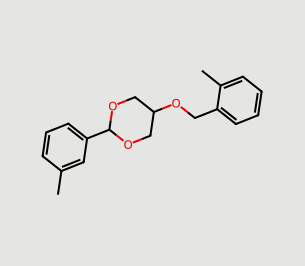 Cc1cccc(C2OCC(OCc3ccccc3C)CO2)c1